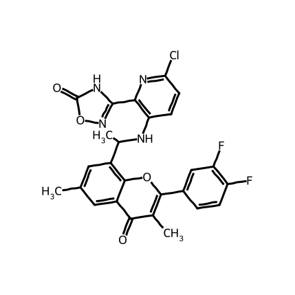 Cc1cc(C(C)Nc2ccc(Cl)nc2-c2noc(=O)[nH]2)c2oc(-c3ccc(F)c(F)c3)c(C)c(=O)c2c1